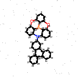 c1cc2c3c(c1)Oc1cccc4c1P3c1c(cccc1N4c1ccc3c4ccccc4c4ccccc4c3c1)O2